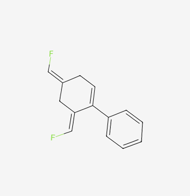 FC=C1CC=C(c2ccccc2)C(=CF)C1